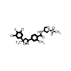 Cc1cc(C2=NO[C@@](c3cc(Cl)c(F)c(Cl)c3)(C(F)(F)F)C2)ccc1C(=O)N[C@H]1CON(S(C)(=O)=O)C1